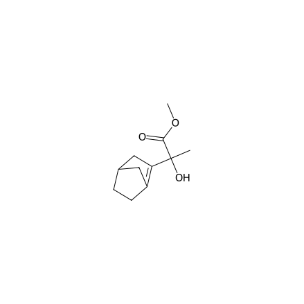 COC(=O)C(C)(O)C1=C2CCC(C2)C1